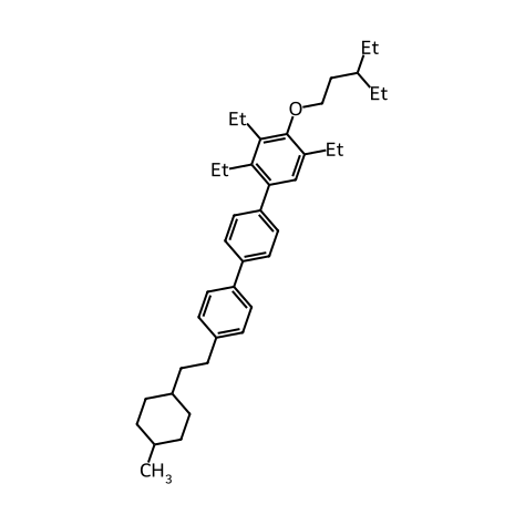 CCc1cc(-c2ccc(-c3ccc(CCC4CCC(C)CC4)cc3)cc2)c(CC)c(CC)c1OCCC(CC)CC